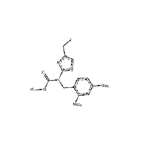 COc1ccc(CN(C(=O)OC(C)(C)C)c2nc(CI)cs2)c(OC)c1